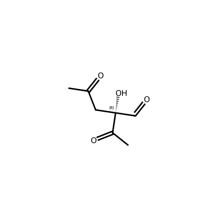 CC(=O)C[C@@](O)(C=O)C(C)=O